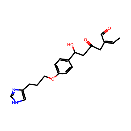 CC=C([C]=O)CC(=O)CC(O)c1ccc(OCCCc2c[nH]cn2)cc1